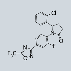 O=C1CCC(c2ccccc2Cl)N1c1ccc(-c2noc(C(F)(F)F)n2)cc1F